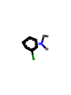 Brc1ccccc1.CCNOC(C)=O